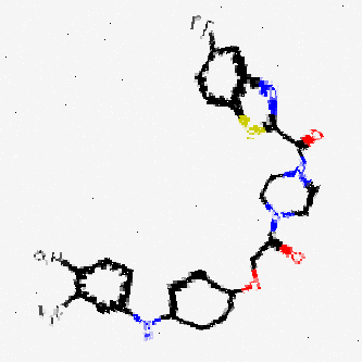 O=C(COC1CCC(Nc2ccc([N+](=O)[O-])c(C(F)(F)F)c2)CC1)N1CCN(C(=O)c2nc3cc(C(F)(F)F)ccc3s2)CC1